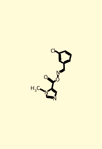 Cn1cncc1C(=O)ON=Cc1cccc(Cl)c1